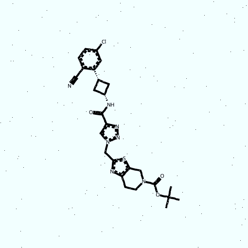 CC(C)(C)OC(=O)N1CCc2nc(Cn3cc(C(=O)N[C@H]4C[C@@H](c5cc(Cl)ccc5C#N)C4)nn3)sc2C1